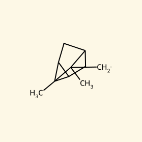 [CH2]C1(C)C2CC3C(C2)C31C